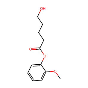 COc1ccccc1OC(=O)CCCCO